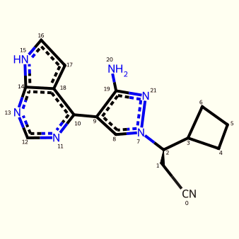 N#CC[C@H](C1CCC1)n1cc(-c2ncnc3[nH]ccc23)c(N)n1